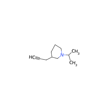 C#CCC1CCCN(C(C)C)C1